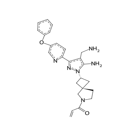 C=CC(=O)N1CC[C@]2(C1)C[C@@H](n1nc(-c3ccc(Oc4ccccc4)cn3)c(CN)c1N)C2